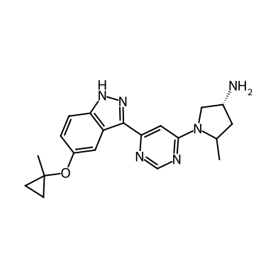 CC1C[C@@H](N)CN1c1cc(-c2n[nH]c3ccc(OC4(C)CC4)cc23)ncn1